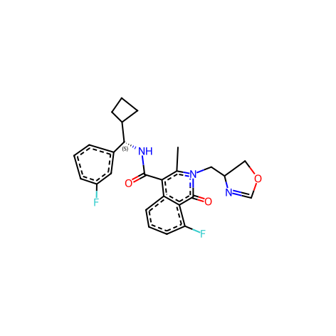 Cc1c(C(=O)N[C@H](c2cccc(F)c2)C2CCC2)c2cccc(F)c2c(=O)n1CC1COC=N1